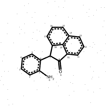 Nc1ccccc1C1C(=O)c2cccc3cccc1c23